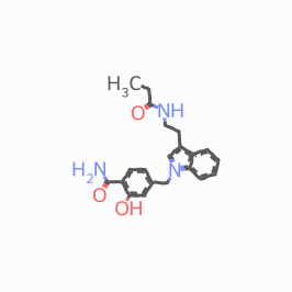 CCC(=O)NCCc1cn(Cc2ccc(C(N)=O)c(O)c2)c2ccccc12